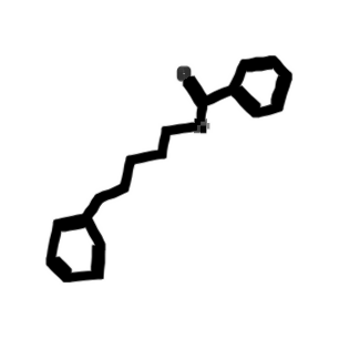 O=C([N]CCCCCc1ccccc1)c1ccccc1